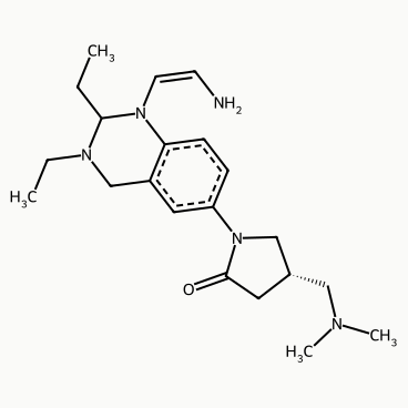 CCC1N(CC)Cc2cc(N3C[C@H](CN(C)C)CC3=O)ccc2N1/C=C\N